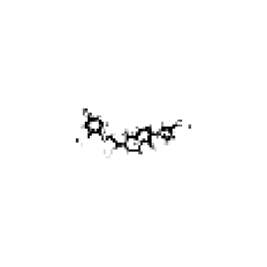 Cc1cn(-c2ccc3n(c2=O)CCN([C@@H](C)COc2ccc(F)cc2C(F)(F)F)C3=O)cn1